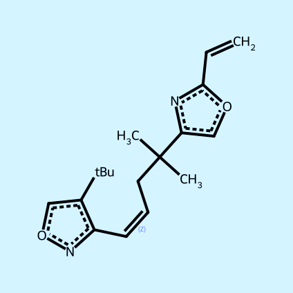 C=Cc1nc(C(C)(C)C/C=C\c2nocc2C(C)(C)C)co1